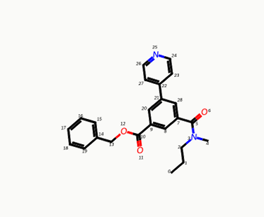 CCCN(C)C(=O)c1cc(C(=O)OCc2ccccc2)cc(-c2ccncc2)c1